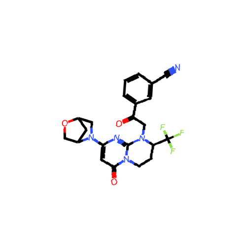 N#Cc1cccc(C(=O)CN2c3nc(N4CC5CC4CO5)cc(=O)n3CCC2C(F)(F)F)c1